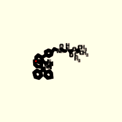 CC(C)(C)OC(=O)NCC(=O)NCc1ccc(-c2ccccc2-c2nnnn2C(c2ccccc2)(c2ccccc2)c2ccccc2)cc1